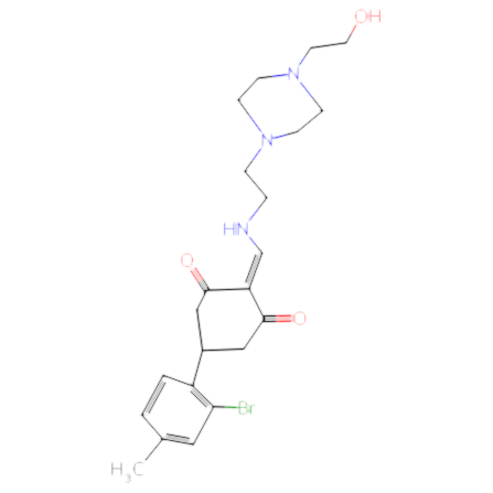 Cc1ccc(C2CC(=O)C(=CNCCN3CCN(CCO)CC3)C(=O)C2)c(Br)c1